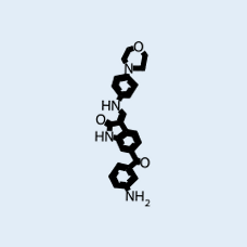 Nc1cccc(C(=O)c2ccc3c(c2)NC(=O)C3=CNc2ccc(N3CCOCC3)cc2)c1